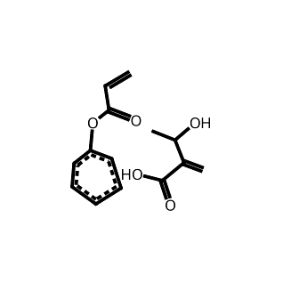 C=C(C(=O)O)C(C)O.C=CC(=O)Oc1ccccc1